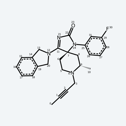 CC#CCN1CC[C@@]2(C[C@@H]1C)C(N1Cc3ccccc3C1)=NC(=O)N2c1cccc(F)c1